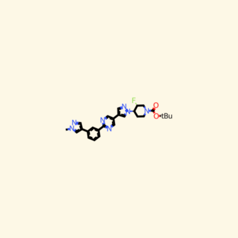 Cn1cc(-c2cccc(-c3ncc(-c4cnn([C@@H]5CCN(C(=O)OC(C)(C)C)C[C@H]5F)c4)cn3)c2)cn1